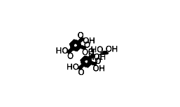 CC(O)CO.O=C(O)c1ccc(C(=O)O)c(C(=O)O)c1.O=C(O)c1ccc(C(=O)O)c(C(=O)O)c1